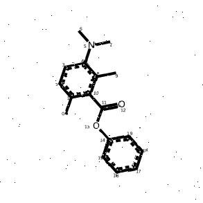 Cc1ccc(N(C)C)c(C)c1C(=O)Oc1ccccc1